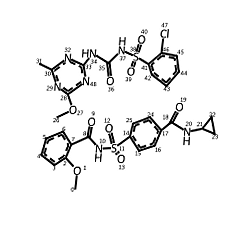 COc1ccccc1C(=O)NS(=O)(=O)c1ccc(C(=O)NC2CC2)cc1.COc1nc(C)nc(NC(=O)NS(=O)(=O)c2ccccc2Cl)n1